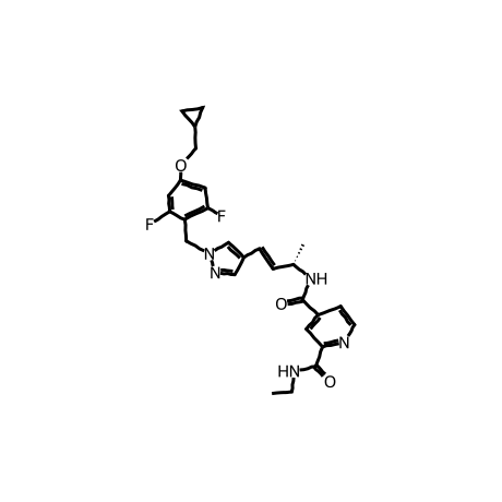 CCNC(=O)c1cc(C(=O)N[C@@H](C)/C=C/c2cnn(Cc3c(F)cc(OCC4CC4)cc3F)c2)ccn1